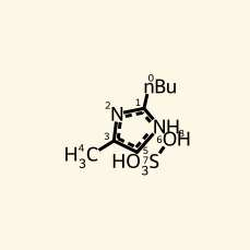 CCCCc1nc(C)c[nH]1.O=S(=O)(O)O